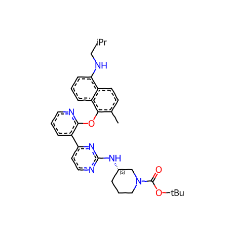 Cc1ccc2c(NCC(C)C)cccc2c1Oc1ncccc1-c1ccnc(N[C@H]2CCCN(C(=O)OC(C)(C)C)C2)n1